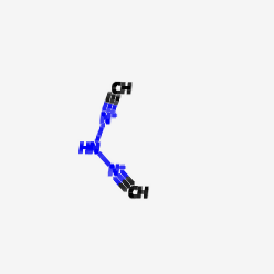 C#[N+]N[N+]#C